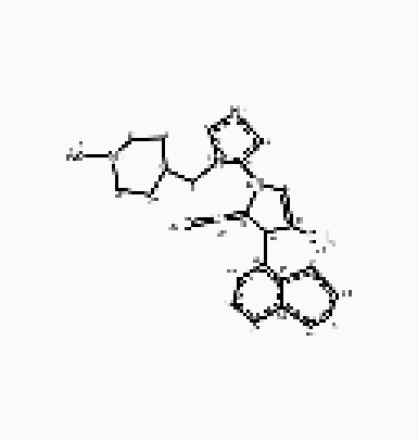 CC(=O)N1CCC(Cn2cncc2N2C=C(C)C(c3cccc4ccccc34)C2=C=O)CC1